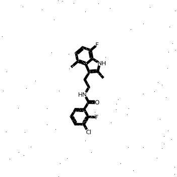 Cc1[nH]c2c(F)ccc(C)c2c1CCNC(=O)c1cccc(Cl)c1F